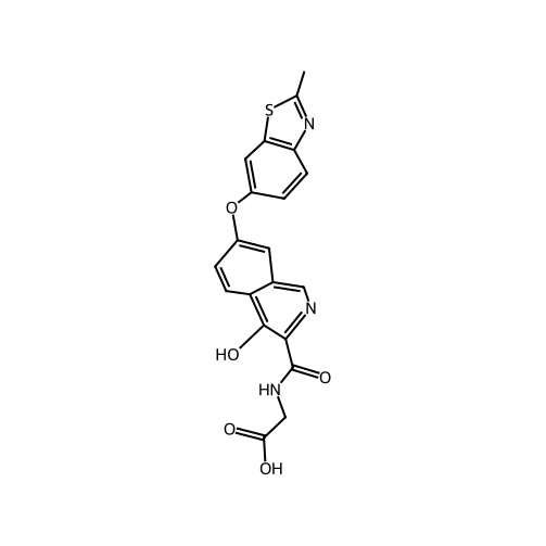 Cc1nc2ccc(Oc3ccc4c(O)c(C(=O)NCC(=O)O)ncc4c3)cc2s1